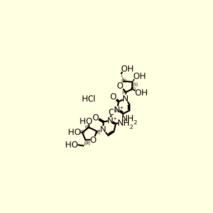 Cl.Nc1ccn([C@@H]2O[C@H](CO)[C@@H](O)[C@H]2O)c(=O)[n+]1[C-2][n+]1c(N)ccn([C@@H]2O[C@H](CO)[C@@H](O)[C@H]2O)c1=O